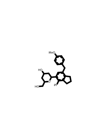 COc1ccc(Cc2cc(C3CC(O)CC(CO)O3)c(C(C)C)c3c2CCC3)cc1